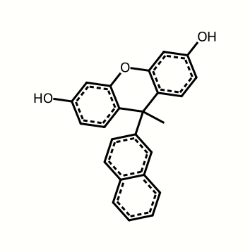 CC1(c2ccc3ccccc3c2)c2ccc(O)cc2Oc2cc(O)ccc21